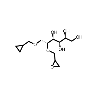 OC[C@H](O)[C@@H](O)[C@H](O)[C@@H](COCC1CC1)OCC1CO1